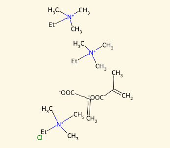 C=C(C)C(=O)[O-].C=CC(=O)[O-].CC[N+](C)(C)C.CC[N+](C)(C)C.CC[N+](C)(C)C.[Cl-]